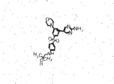 CC(C)(O)CNc1ccc(S(=O)(=O)c2cc(-c3cnc(N)nc3)cc(N3CCOCC3)c2)cc1